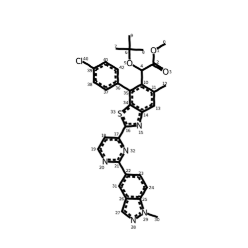 COC(=O)C(OC(C)(C)C)c1c(C)cc2nc(-c3ccnc(-c4ccc5c(cnn5C)c4)n3)sc2c1-c1ccc(Cl)cc1